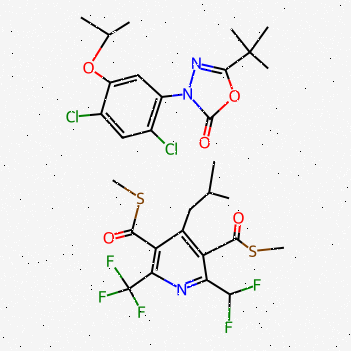 CC(C)Oc1cc(-n2nc(C(C)(C)C)oc2=O)c(Cl)cc1Cl.CSC(=O)c1c(C(F)F)nc(C(F)(F)F)c(C(=O)SC)c1CC(C)C